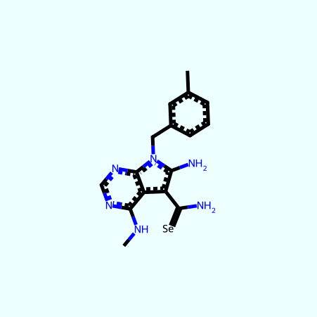 CNc1ncnc2c1c(C(N)=[Se])c(N)n2Cc1cccc(C)c1